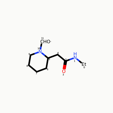 CCNC(=O)CC1CCCCN1[C]=O